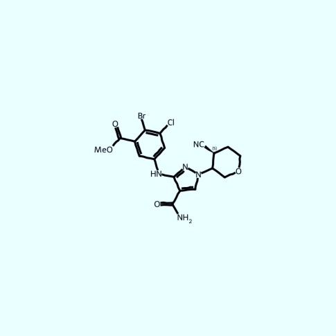 COC(=O)c1cc(Nc2nn(C3COCC[C@@H]3C#N)cc2C(N)=O)cc(Cl)c1Br